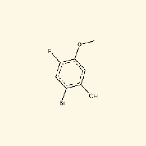 COc1cc(O)c(Br)cc1F